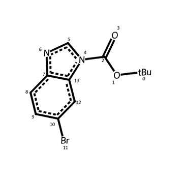 CC(C)(C)OC(=O)n1cnc2ccc(Br)cc21